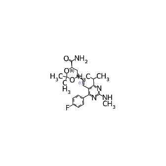 CNc1nc(-c2ccc(F)cc2)c(/C=C/[C@@H]2C[C@H](C(N)=O)OC(C)(C)O2)c(C(C)C)n1